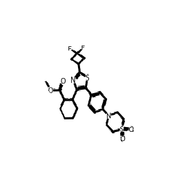 COC(=O)C1CCCCC1c1nc(C2CC(F)(F)C2)sc1-c1ccc(N2CCS(=O)(=O)CC2)cc1